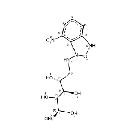 O=C[C@H](O)[C@@H](O)[C@H](O)[C@H](O)CNN1ONc2cccc([N+](=O)[O-])c21